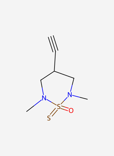 C#CC1CN(C)S(=O)(=S)N(C)C1